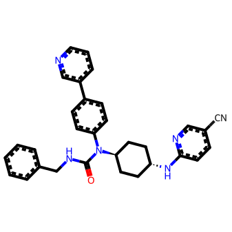 N#Cc1ccc(N[C@H]2CC[C@H](N(C(=O)NCc3ccccc3)c3ccc(-c4cccnc4)cc3)CC2)nc1